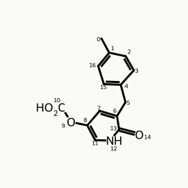 Cc1ccc(Cc2cc(OC(=O)O)c[nH]c2=O)cc1